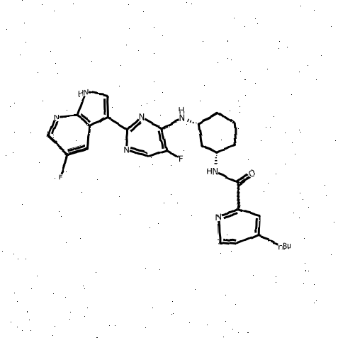 CCCCc1ccnc(C(=O)N[C@H]2CCC[C@@H](Nc3nc(-c4c[nH]c5ncc(F)cc45)ncc3F)C2)c1